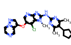 Cc1nc(Nc2nc3ncc(Oc4cnn5ccncc45)c(Cl)c3n2C)nc(C)c1C1CCCC1